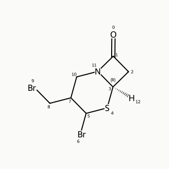 O=C1C[C@H]2SC(Br)C(CBr)CN12